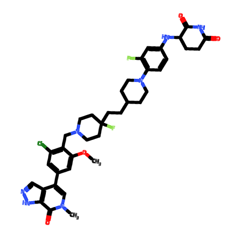 COc1cc(-c2cn(C)c(=O)c3[nH]ncc23)cc(Cl)c1CN1CCC(F)(CCC2CCN(c3ccc(NC4CCC(=O)NC4=O)cc3F)CC2)CC1